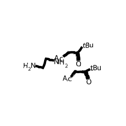 CC(=O)CC(=O)C(C)(C)C.CC(=O)CC(=O)C(C)(C)C.NCCN